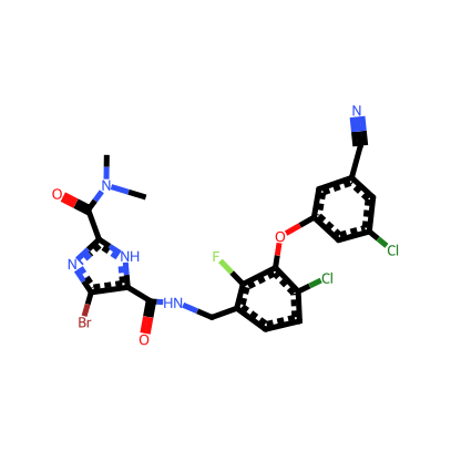 CN(C)C(=O)c1nc(Br)c(C(=O)NCc2ccc(Cl)c(Oc3cc(Cl)cc(C#N)c3)c2F)[nH]1